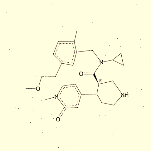 COCCc1ccc(C)c(CN(C(=O)[C@H]2CNCCC2c2ccn(C)c(=O)c2)C2CC2)c1